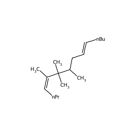 CCCC=C(C)C(C)(C)C(C)CC=CCCCC